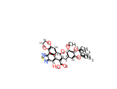 COc1cc(CC(C(=O)c2ccc3c(c2)OCCO3)=C(C(=O)O)c2ccc3nsnc3c2)cc(OC(C)C)c1OC(C)C